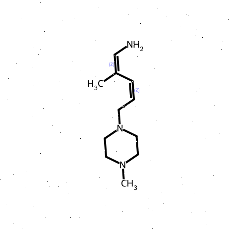 CC(/C=C\CN1CCN(C)CC1)=C/N